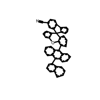 N#Cc1ccc2c(c1)C1(c3ccccc3Oc3c(-c4c5ccccc5c(-c5cccc6ccccc56)c5ccccc45)cccc31)c1ccccc1-2